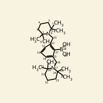 CC1(C)CCCC(C)(C)N1Cc1cccc(CN2C(C)(C)CCCC2(C)C)c1B(O)O